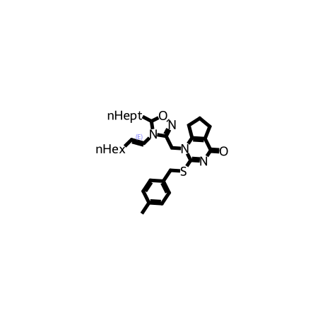 CCCCCC/C=C/N1C(Cn2c(SCc3ccc(C)cc3)nc(=O)c3c2CCC3)=NOC1CCCCCCC